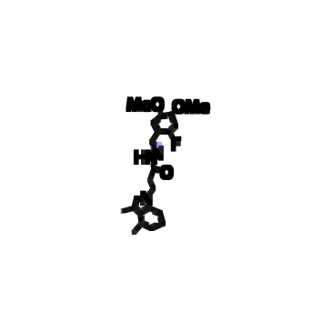 COc1cc(F)c(/C=N/NC(=O)CCn2cc(C)c3c(C)cccc32)cc1OC